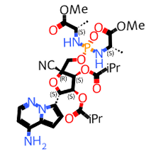 COC(=O)[C@H](C)NP(=O)(N[C@@H](C)C(=O)OC)OC[C@@]1(C#N)O[C@@H](c2ccc3c(N)ccnn23)[C@H](OC(=O)C(C)C)[C@@H]1OC(=O)C(C)C